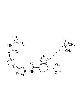 CC(C)NC(=O)O[C@@H]1CC[C@H](c2cc(NC(=O)c3ccc(C4OCCO4)c4c3cnn4COCC[Si](C)(C)C)n[nH]2)C1